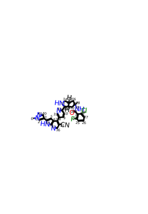 Cn1cc(-c2cc3c(-c4ccc(C5NC[C@@H]6C[C@](C)(NC(=O)c7c(F)cccc7Cl)C[C@H]56)nc4)c(C#N)cnc3[nH]2)cn1